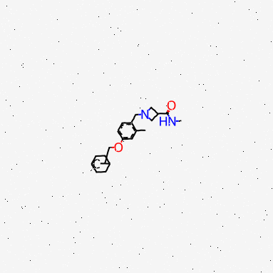 CNC(=O)C1CN(Cc2ccc(OCC3CC4CCC3CC4)cc2C)C1